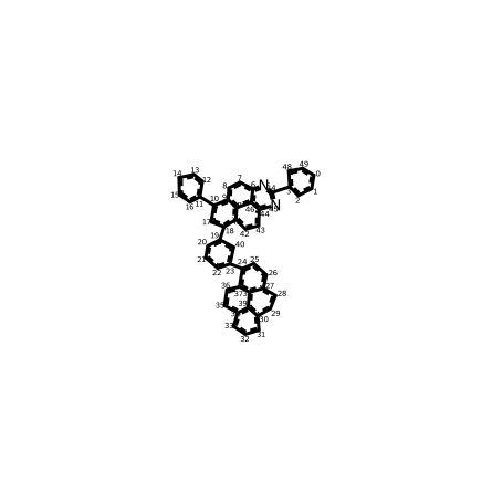 c1ccc(-c2nc3ccc4c(-c5ccccc5)cc(-c5cccc(-c6ccc7ccc8cccc9ccc6c7c89)c5)c5ccc(n2)c3c45)cc1